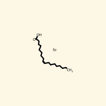 CCCCCCCC/C=C\CCCCCCCC(=O)O.[Sc]